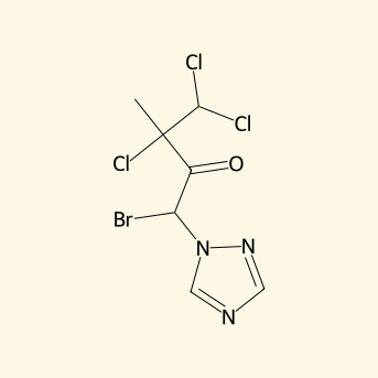 CC(Cl)(C(=O)C(Br)n1cncn1)C(Cl)Cl